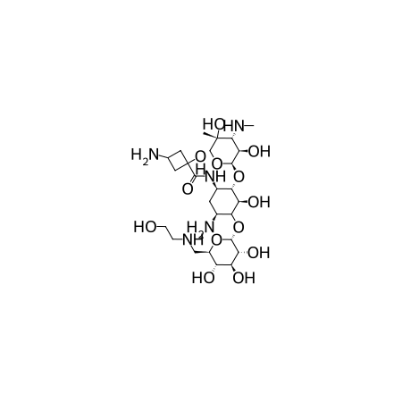 CN[C@@H]1[C@@H](O)[C@@H](O[C@H]2[C@H](NC(=O)C3(O)CC(N)C3)C[C@H](N)C(O[C@H]3O[C@H](CNCCO)[C@@H](O)[C@H](O)[C@H]3O)[C@@H]2O)OC[C@]1(C)O